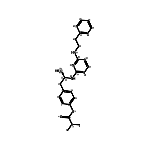 CN(C)C(=O)Oc1ccc(C[C@H](Nc2ncnc(NCCc3ccccn3)n2)C(=O)O)cc1